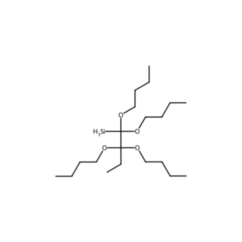 CCCCOC([SiH3])(OCCCC)C(CC)(OCCCC)OCCCC